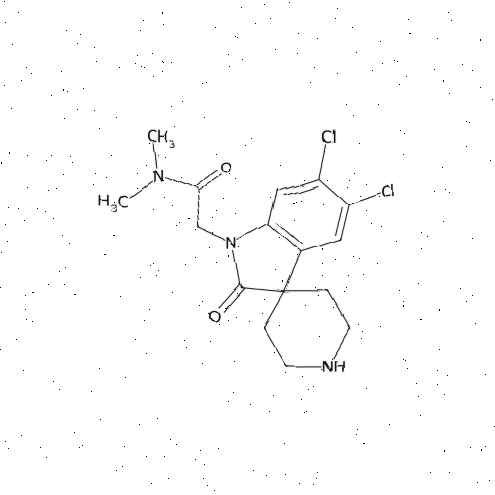 CN(C)C(=O)CN1C(=O)C2(CCNCC2)c2cc(Cl)c(Cl)cc21